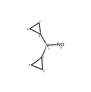 O=NN(C1CC1)C1CC1